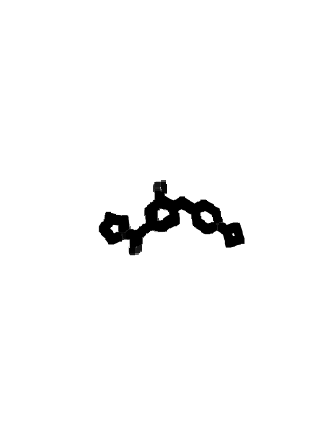 O=C(c1ccc(C=C2CCN(C3CCC3)CC2)c(Cl)c1)N1CCCC1